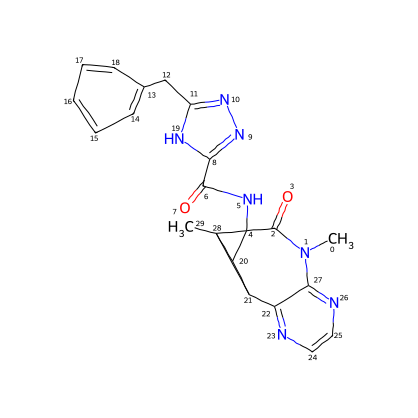 CN1C(=O)C2(NC(=O)c3nnc(Cc4ccccc4)[nH]3)C3C(c4nccnc41)C32C